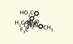 C=C(C)CN(CCCC(F)(F)F)c1ccc(-c2ccccc2C(=O)O)cc1NC(=O)Nc1ccc(C)cc1